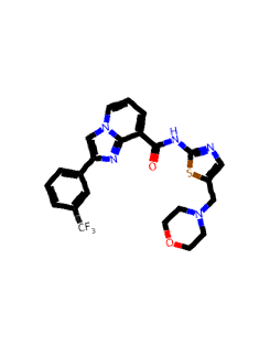 O=C(Nc1ncc(CN2CCOCC2)s1)c1cccn2cc(-c3cccc(C(F)(F)F)c3)nc12